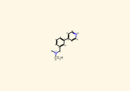 CN(Cc1cccc(-c2ccncc2)c1)C(=O)O